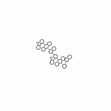 c1ccc(-c2c3ccccc3c(-c3ccc(-c4ccc(-c5c6ccccc6c(-c6cccc7oc8ccccc8c67)c6ccccc56)c5ccccc45)c4oc5ccccc5c34)c3ccccc23)c(-c2ccc3ccccc3c2)c1